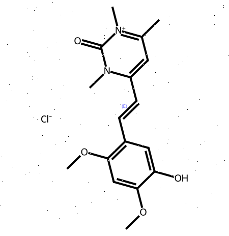 COc1cc(OC)c(/C=C/c2cc(C)[n+](C)c(=O)n2C)cc1O.[Cl-]